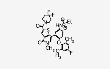 CCS(=O)(=O)Nc1ccc(Oc2c(C)cc(F)cc2C)c(-c2cn(C)c(=O)c3cc(C(=O)N4CCC(F)(F)CC4)sc23)c1